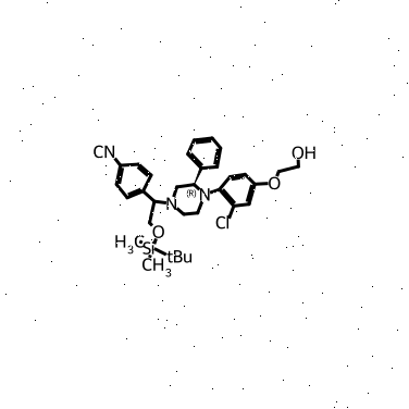 [C-]#[N+]c1ccc(C(CO[Si](C)(C)C(C)(C)C)N2CCN(c3ccc(OCCO)cc3Cl)[C@H](c3ccccc3)C2)cc1